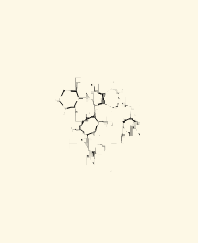 CCc1cccc(CC)c1-n1nc2c(c1-c1cc(F)c(NC(N)=O)cc1F)CN(Cc1cnn(CC)c1)CC2